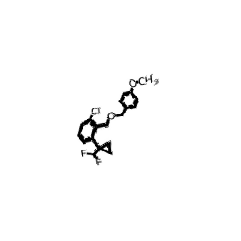 COc1ccc(COCc2c(Cl)cccc2C2(C(F)F)CC2)cc1